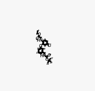 CCOC(=O)CNc1ccc(Cl)cc1Oc1cccc(CNC(=O)OC(C)(C)C)c1